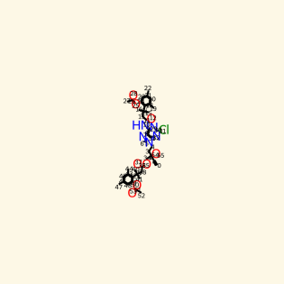 C#CC(CCn1cnc2c(NC(=O)CC(C)(C)c3c(C)cc(C)cc3OC(C)=O)nc(Cl)nc21)(COC(=O)CC(C)(C)c1c(C)cc(C)cc1OC(C)=O)OC